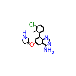 Cc1c(Cl)cccc1-c1cc(O[C@@H]2CCNC2)cc2c(N)ncnc12